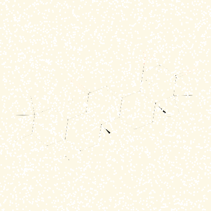 CC1C[C@]2(C#N)CC[C@]3(C)[C@H](C(=O)C=C4[C@@]5(C)C6OC6(C#N)C(=O)C(C)(C)[C@@H]5CC[C@]43C)[C@@H]2CC1(C)C